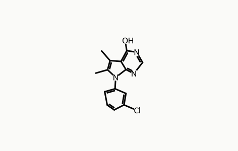 Cc1c(C)n(-c2cccc(Cl)c2)c2ncnc(O)c12